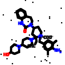 Cc1cc(C[N@+]2(C(=O)[O-])CCC(N3CCc4ccccc4NC3=O)CC2(CC=O)N2CCC(N3CCC(O)CC3)CC2)cc(C)c1N